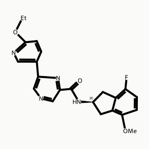 CCOc1ccc(-c2cncc(C(=O)N[C@H]3Cc4c(F)ccc(OC)c4C3)n2)cn1